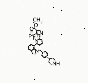 CCOC(=O)c1cnn(-c2cccc(-c3cccc4c3N(Cc3ccc(C5CCNCC5)cc3)CC4)n2)c1C(F)(F)F